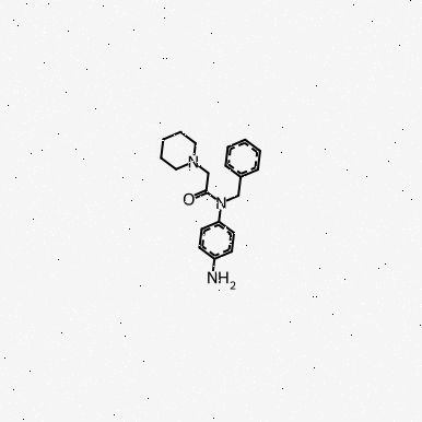 Nc1ccc(N(Cc2ccccc2)C(=O)CN2CCCCC2)cc1